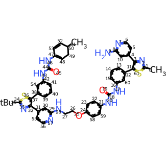 Cc1nc(-c2ccnc(N)c2)c(-c2cccc(NC(=O)Nc3ccc(OCCNc4cc(-c5nc(C(C)(C)C)sc5-c5cccc(NC(=O)NC6=CCC(C)C=C6)c5)ccn4)cc3)c2)s1